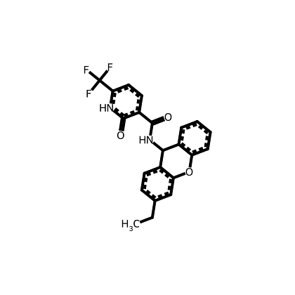 CCc1ccc2c(c1)Oc1ccccc1C2NC(=O)c1ccc(C(F)(F)F)[nH]c1=O